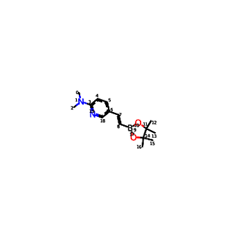 CN(C)c1ccc(C=CB2OC(C)(C)C(C)(C)O2)cn1